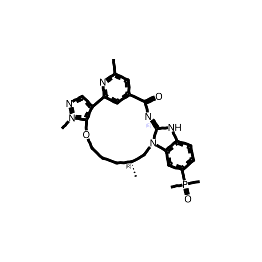 Cc1cc2cc(n1)-c1cnn(C)c1OCCC[C@@H](C)CN1/C(=N/C2=O)Nc2ccc(P(C)(C)=O)cc21